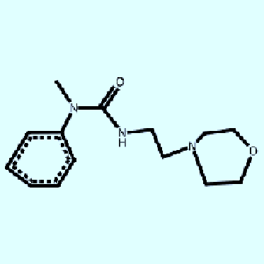 CN(C(=O)NCCN1CCOCC1)c1ccccc1